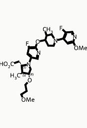 COCCCO[C@H]1CN(c2cnc(OC3CCN(c4cc(OC)ncc4F)CC3C)c(F)c2)[C@@H](CC(=O)O)[C@@H]1C